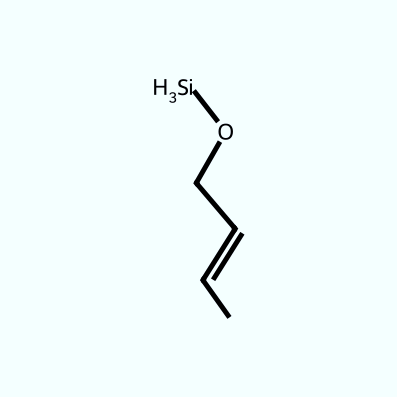 CC=CCO[SiH3]